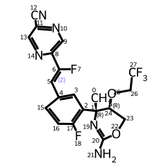 C[C@]1(c2cc(/C=C(\F)c3cnc(C#N)cn3)ccc2F)N=C(N)OC[C@@H]1OCC(F)(F)F